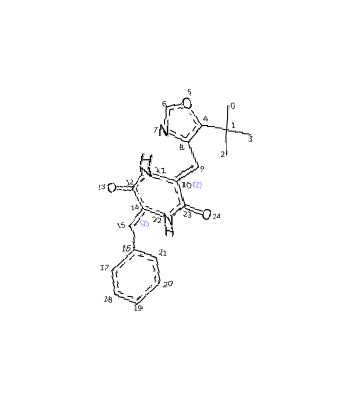 CC(C)(C)c1ocnc1/C=c1\[nH]c(=O)/c(=C/c2ccccc2)[nH]c1=O